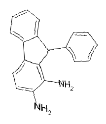 Nc1ccc2c(c1N)C(c1ccccc1)c1ccccc1-2